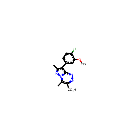 CCCOc1cc(-c2c(C)nn3c(C)c(C(=O)O)nnc23)ccc1Cl